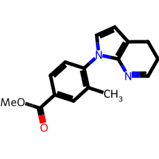 COC(=O)c1ccc(-n2ccc3c2N=CCC3)c(C)c1